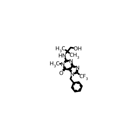 Cn1c(NC(C)(C)CO)nc2nc(C(F)(F)F)n(Cc3ccccc3)c2c1=O